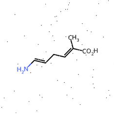 CC(=CCC=CN)C(=O)O